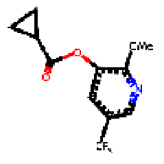 COc1ncc(C(F)(F)F)cc1OC(=O)C1CC1